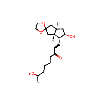 CC(O)CCCCC(=O)C=C[C@@H]1[C@@H]2CC3(C[C@H]2C[C@H]1O)OCCO3